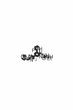 C=C(CN1CCOCC1)/N=C\C(=C/N)c1cc(-c2ncccc2F)c2[nH]c(NC(=O)NCC)nc2c1